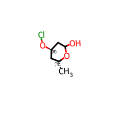 C[C@@H]1C[C@@H](OCl)CC(O)O1